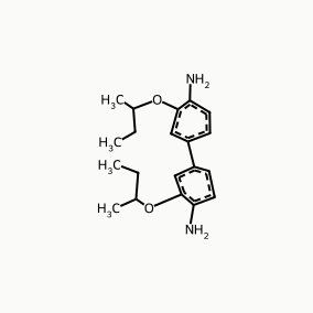 CCC(C)Oc1cc(-c2ccc(N)c(OC(C)CC)c2)ccc1N